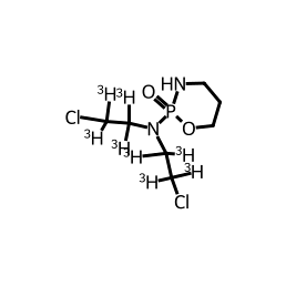 [3H]C([3H])(Cl)C([3H])([3H])N(C([3H])([3H])C([3H])([3H])Cl)P1(=O)NCCCO1